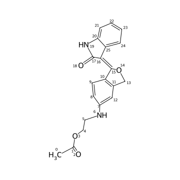 CC(=O)OCCNc1ccc2c(c1)COC2=C1C(=O)Nc2ccccc21